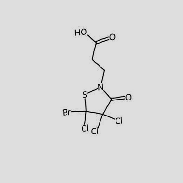 O=C(O)CCN1SC(Cl)(Br)C(Cl)(Cl)C1=O